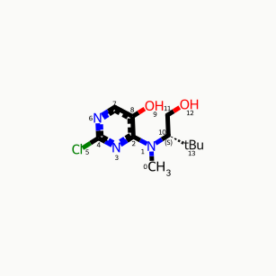 CN(c1nc(Cl)ncc1O)[C@H](CO)C(C)(C)C